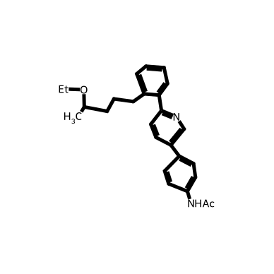 CCOC(C)CCCc1ccccc1-c1ccc(-c2ccc(NC(C)=O)cc2)cn1